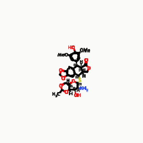 COc1cc([C@H]2c3cc4c(cc3[C@H](S[C@@H]3O[C@@H]5COC(C)O[C@H]5[C@H](O)[C@H]3N)[C@H]3COC(=O)[C@H]23)OCO4)cc(OC)c1O